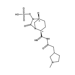 CN1CCC(CC(=O)NC(=N)[C@@H]2CC[C@@H]3CN2C(=O)N3OS(=O)(=O)O)C1